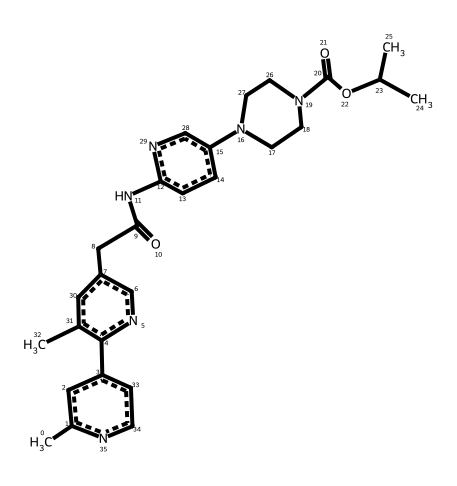 Cc1cc(-c2ncc(CC(=O)Nc3ccc(N4CCN(C(=O)OC(C)C)CC4)cn3)cc2C)ccn1